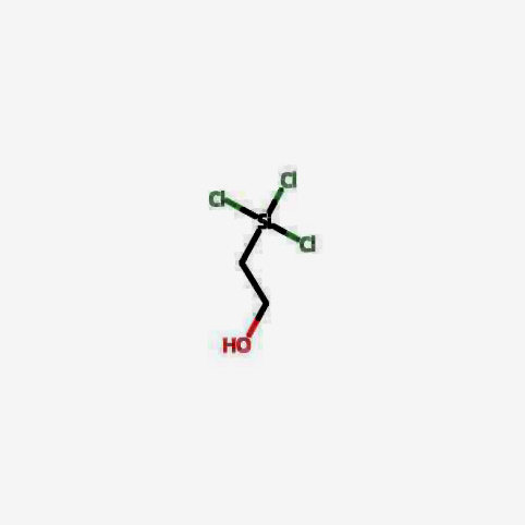 OCC[Si](Cl)(Cl)Cl